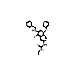 CCNC(=O)Nc1cc2c(F)c(NCc3ccccc3)cc(Nc3cccnc3)c2cn1